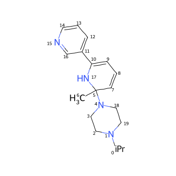 CC(C)N1CCN(C2(C)C=CC=C(c3cccnc3)N2)CC1